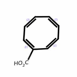 O=C(O)C1=C/C=C\C=C/C=C\1